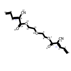 C=C/C=C(\C#N)C(=O)OCCOCCOC(=O)/C(C#N)=C/C=C